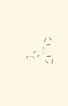 COC(=O)c1ccc(N(c2ccc(F)cc2)S(=O)(=O)c2ccccc2)cc1